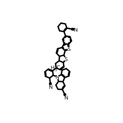 CC1CC=CC2=C1N(C1C(C3C=CC4SC5c6sc7ccc(C8=C(C#N)CCCC8)cc7c6C=CC5C4C3)=CC=CC1C#N)C1CCC(C#N)=CC21